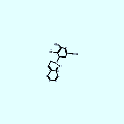 CC(C)(C)c1cc(N2CC=c3ccccc3=N2)c(O)c(C(C)(C)C)c1